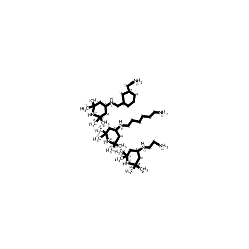 CC1(C)CC(NCC2CCCC(CN)C2)CC(C)(C)N1.CC1(C)CC(NCCCCCCN)CC(C)(C)N1.CC1(C)CC(NCCN)CC(C)(C)N1